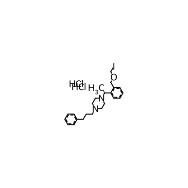 C[C@@H](c1ccccc1COCI)N1CCN(CCCc2ccccc2)CC1.Cl.Cl